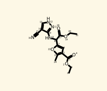 CCOC(=O)c1cc(C(Nc2n[nH]cc2C#N)C(=O)OCC)oc1C